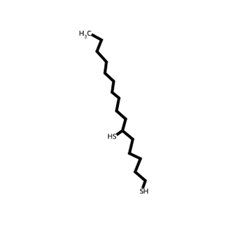 CCCCCCCCCCC(S)CCCCCS